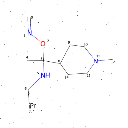 C=NOC(C)(NCC(C)C)C1CCN(C)CC1